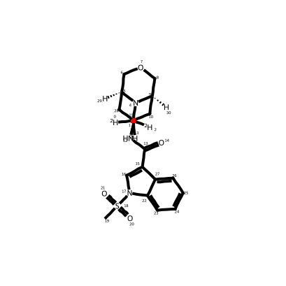 [2H]C([2H])([2H])N1[C@@H]2COC[C@H]1C[C@@H](NC(=O)c1cn(S(C)(=O)=O)c3ccccc13)C2